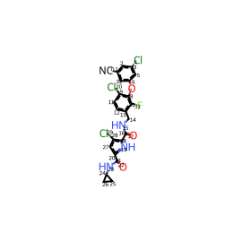 N#Cc1cc(Cl)cc(Oc2c(Cl)ccc(CNC(=O)c3[nH]c(C(=O)NC4CC4)cc3Cl)c2F)c1